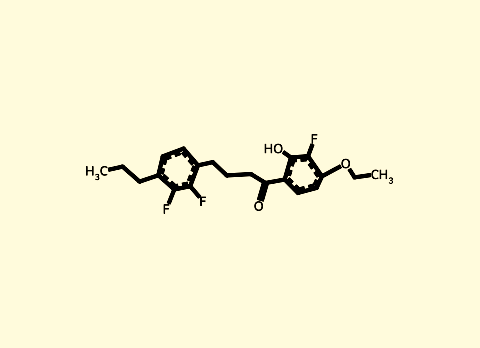 CCCc1ccc(CCCC(=O)c2ccc(OCC)c(F)c2O)c(F)c1F